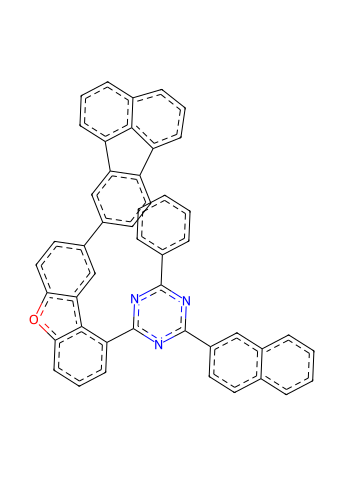 c1ccc(-c2nc(-c3ccc4ccccc4c3)nc(-c3cccc4oc5ccc(-c6ccc7c(c6)-c6cccc8cccc-7c68)cc5c34)n2)cc1